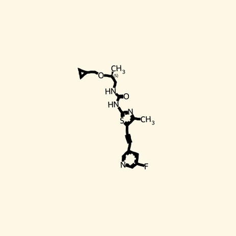 Cc1nc(NC(=O)NC[C@H](C)OCC2CC2)sc1C#Cc1cncc(F)c1